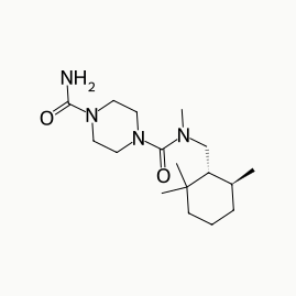 C[C@H]1CCCC(C)(C)[C@@H]1CN(C)C(=O)N1CCN(C(N)=O)CC1